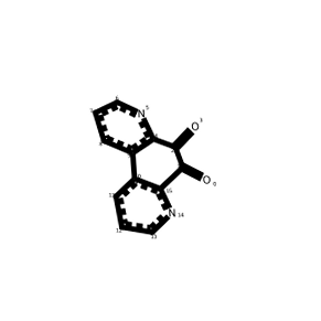 O=C1C(=O)c2ncccc2-c2cccnc21